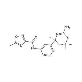 Cc1nc(C(=O)Nc2ccnc([C@]3(C)CC(C)(C)SC(N)=N3)c2)no1